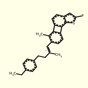 CCc1ccc(CC/C(C)=C/c2ccc3c(c2C)-c2ccc4cc(F)sc4c2-3)cc1